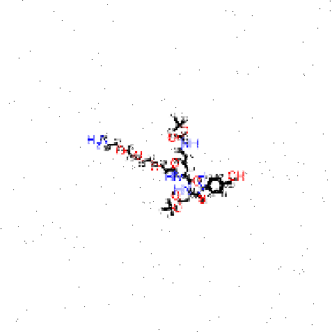 CC(C)(C)OC(=O)C[C@H](NC(=O)[C@H](CCCCNC(=O)OC(C)(C)C)NC(=O)CCOCCOCCOCCN)C(=O)Nc1ccc(CO)cc1